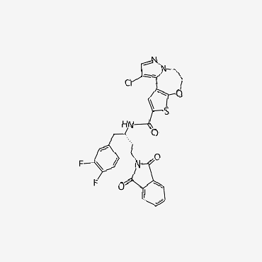 O=C(N[C@H](CCN1C(=O)c2ccccc2C1=O)Cc1ccc(F)c(F)c1)c1cc2c(s1)OCCn1ncc(Cl)c1-2